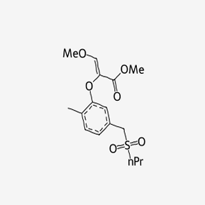 CCCS(=O)(=O)Cc1ccc(C)c(O/C(=C\OC)C(=O)OC)c1